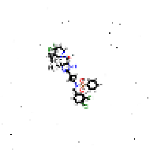 CC1(C)N=C(C23CC(N(Cc4ccc(Cl)c(Cl)c4)S(=O)(=O)c4ccccc4)(C2)C3)N[C@H]1C(=O)N1CCC(F)(F)C2(CC2)C1